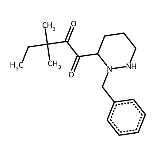 CCC(C)(C)C(=O)C(=O)C1CCCNN1Cc1ccccc1